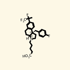 CC(F)(c1ccc2c(c1)CC[C@H]1N(CCCCC(=O)O)CC[C@@]21Cc1ccc(F)cc1)C(F)(F)F